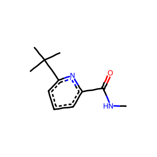 CNC(=O)c1cccc(C(C)(C)C)n1